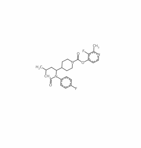 Cc1nccc(OC(=O)N2CCC(C(CC(C)C)N(C=O)c3ccc(F)cc3)CC2)c1F